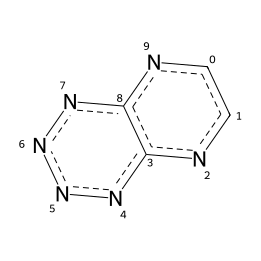 c1cnc2nnnnc2n1